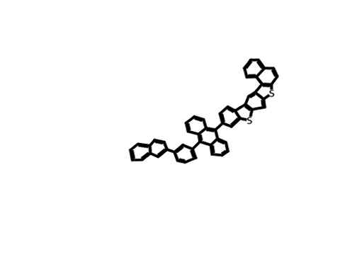 c1cc(-c2ccc3ccccc3c2)cc(-c2c3ccccc3c(-c3ccc4c(c3)sc3cc5sc6ccc7ccccc7c6c5cc34)c3ccccc23)c1